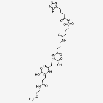 COCCNC(=O)CC[C@H](NC(=O)CC[C@H](NC(=O)CCCNC(=O)CCCS(=O)(=O)NC(=O)CCCc1nnn[nH]1)C(=O)O)C(=O)O